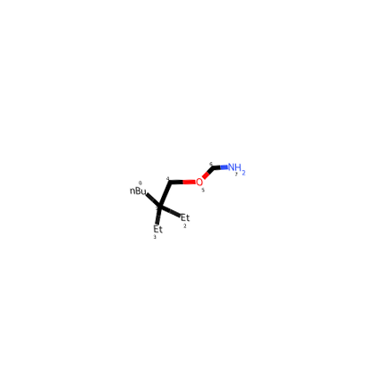 CCCCC(CC)(CC)COCN